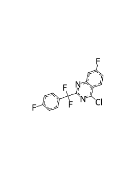 Fc1ccc(C(F)(F)c2nc(Cl)c3ccc(F)cc3n2)cc1